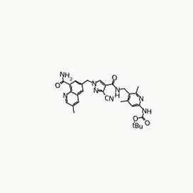 Cc1cnc2c(C(N)=O)cc(Cn3cc(C(=O)NCc4c(C)cc(NC(=O)OC(C)(C)C)nc4C)c(C#N)n3)cc2c1